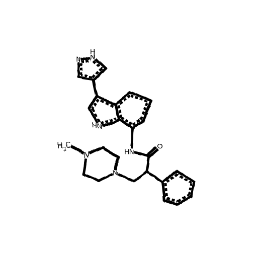 CN1CCN(CC(C(=O)Nc2cccc3c(-c4cn[nH]c4)c[nH]c23)c2ccccc2)CC1